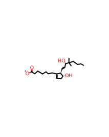 CCCCC(C)(C)[C@H](O)C=C[C@@H]1C(CCCCCCC(=O)OC)=CC[C@H]1O